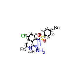 C=C(CC)N(/C(=N\N)c1cc(Cl)ccc1NS(=O)(=O)c1ccc(C(C)(C)C)cc1)C(C)C